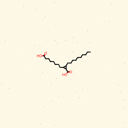 CCCCCCCCCCC1C(CCCCCCCC(=O)O)C1C(=O)O